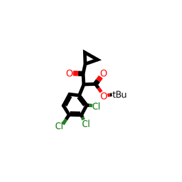 CC(C)(C)OC(=O)C(C(=O)C1CC1)c1ccc(Cl)c(Cl)c1Cl